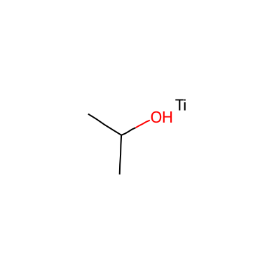 CC(C)O.[Ti]